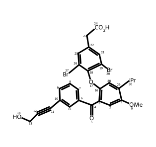 COc1cc(C(=O)c2cccc(C#CCO)c2)c(Oc2c(Br)cc(CC(=O)O)cc2Br)cc1C(C)C